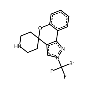 FC(F)(Br)n1cc2c(n1)-c1ccccc1OC21CCNCC1